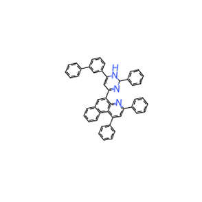 C1=C(c2cccc(-c3ccccc3)c2)NC(c2ccccc2)N=C1c1cc2ccccc2c2c(-c3ccccc3)cc(-c3ccccc3)nc12